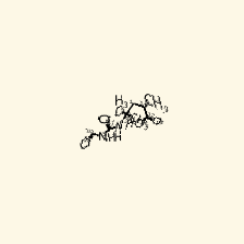 C[C@H](CC(C)(C)NC(=O)NC=O)C(=O)O